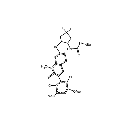 COc1cc(OC)c(Cl)c(-c2cc3cnc(NC4CC(F)(F)CC4NC(=O)OC(C)(C)C)nc3n(C)c2=O)c1Cl